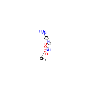 C=CCCC(=O)ONC(=O)CC1CCN(c2ccc(C=NN)cc2)C1=O